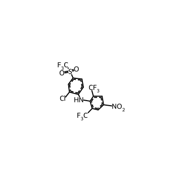 O=[N+]([O-])c1cc(C(F)(F)F)c(Nc2ccc(S(=O)(=O)C(F)(F)F)cc2Cl)c(C(F)(F)F)c1